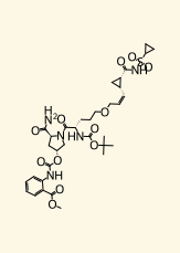 COC(=O)c1ccccc1NC(=O)O[C@@H]1C[C@@H](C(N)=O)N(C(=O)[C@H](CCCOC/C=C\[C@@H]2C[C@@H]2C(=O)NS(=O)(=O)C2CC2)NC(=O)OC(C)(C)C)C1